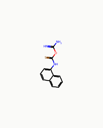 N=C(N)OC(=S)Nc1cccc2ccccc12